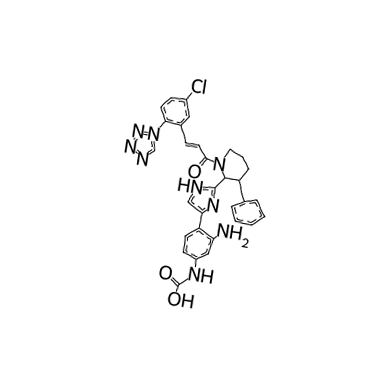 Nc1cc(NC(=O)O)ccc1-c1c[nH]c(C2C(c3ccccc3)CCCN2C(=O)C=Cc2cc(Cl)ccc2-n2cnnn2)n1